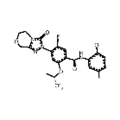 C[C@H](Oc1cc(-n2nc3n(c2=O)CCOC3)c(F)cc1C(=O)Nc1cc(F)ccc1Cl)C(F)(F)F